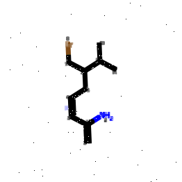 C=C(N)/C=C\CC(CBr)C(C)C